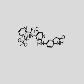 CN(N1CC=CN=C1CNc1nc(Nc2ccc3c(c2)CC(=O)N3)ncc1C(F)(F)F)S(C)(=O)=O